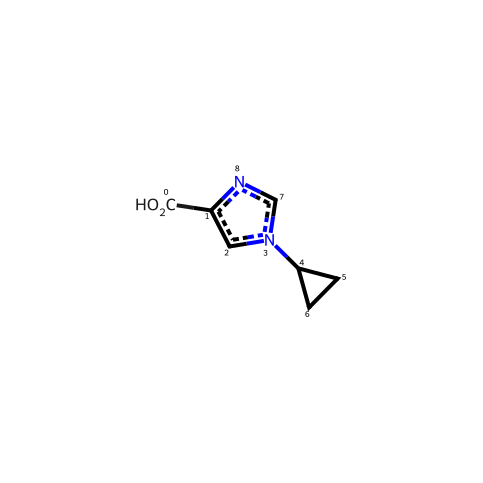 O=C(O)c1cn(C2CC2)cn1